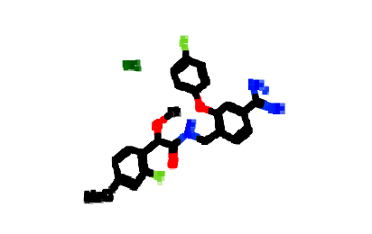 CCOC(C(=O)NCc1ccc(C(=N)N)cc1Oc1ccc(F)cc1)c1ccc(OC)cc1F.Cl